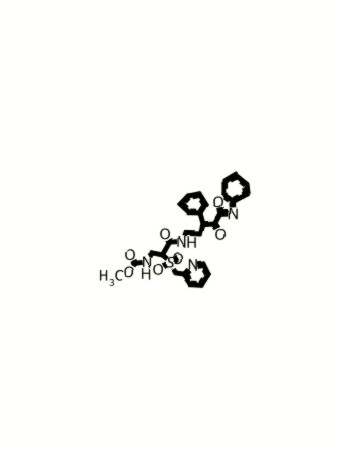 COC(=O)NCC(C(=O)NCCC(C(=O)c1nc2ccccc2o1)c1ccccc1)S(=O)(=O)Cc1ccccn1